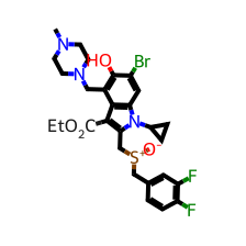 CCOC(=O)c1c(C[S+]([O-])Cc2ccc(F)c(F)c2)n(C2CC2)c2cc(Br)c(O)c(CN3CCN(C)CC3)c12